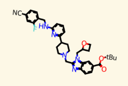 CC(C)(C)OC(=O)c1ccc2nc(CN3CCC(c4cccc(NCc5ccc(C#N)cc5F)n4)CC3)n(CC3CCO3)c2c1